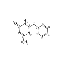 Cc1cc(=O)[nH]c(Cc2ccccc2)n1